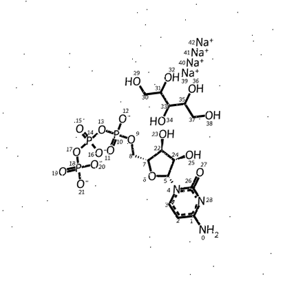 Nc1ccn([C@@H]2O[C@H](COP(=O)([O-])OP(=O)([O-])OP(=O)([O-])[O-])[C@@H](O)[C@H]2O)c(=O)n1.OCC(O)C(O)C(O)CO.[Na+].[Na+].[Na+].[Na+]